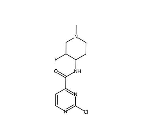 CN1CCC(NC(=O)c2ccnc(Cl)n2)C(F)C1